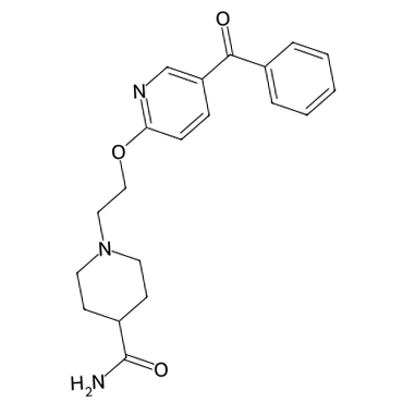 NC(=O)C1CCN(CCOc2ccc(C(=O)c3ccccc3)cn2)CC1